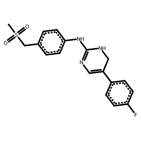 CS(=O)(=O)Cc1ccc(NC2=N[C]=C(c3ccc(F)cc3)CN2)cc1